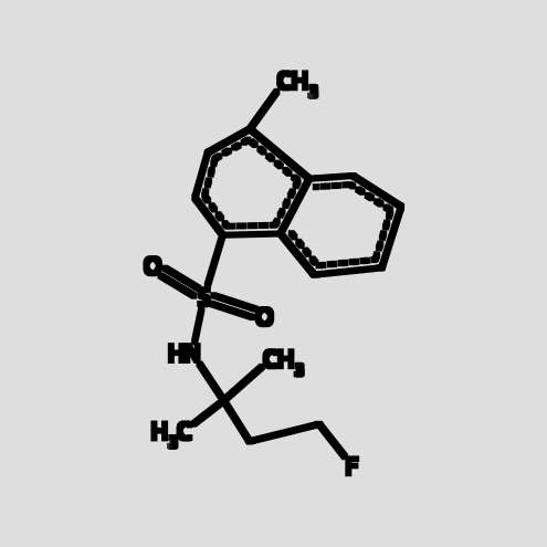 Cc1ccc(S(=O)(=O)NC(C)(C)CCF)c2ccccc12